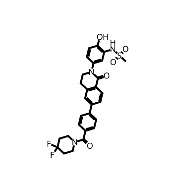 CS(=O)(=O)Nc1cc(N2CCc3cc(-c4ccc(C(=O)N5CCC(F)(F)CC5)cc4)ccc3C2=O)ccc1O